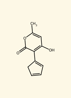 Cc1cc(O)c(C2=CC=CC2)c(=O)o1